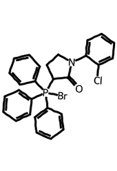 O=C1C(P(Br)(c2ccccc2)(c2ccccc2)c2ccccc2)CCN1c1ccccc1Cl